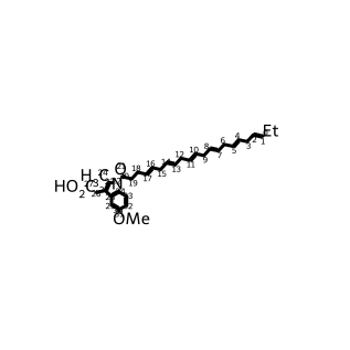 CCC=CCC=CCC=CCC=CCC=CCC=CCCC(=O)n1c(C)c(CC(=O)O)c2cc(OC)ccc21